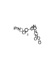 CC(C)N1CCC(c2ccc(-c3cc4c(N5CCN(C(=O)OC6COC6)CC5)ccnn4c3)cc2)(C(F)(F)F)CC1